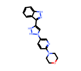 C1=C(c2n[nH]c3ccccc23)NNN1c1ccc(N2CCOCC2)nc1